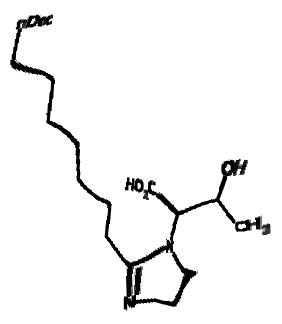 CCCCCCCCCCCCCCCCCC1=NCCN1C(C(=O)O)C(C)O